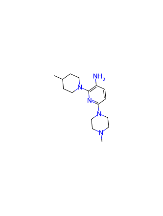 CC1CCN(c2nc(N3CCN(C)CC3)ccc2N)CC1